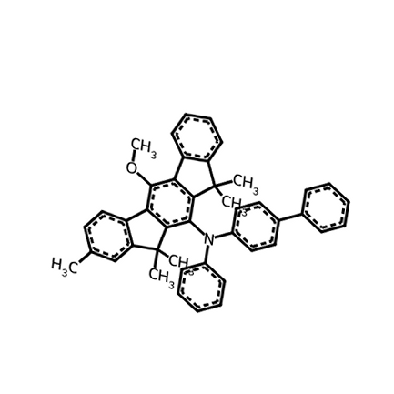 COc1c2c(c(N(c3ccccc3)c3ccc(-c4ccccc4)cc3)c3c1-c1ccc(C)cc1C3(C)C)C(C)(C)c1ccccc1-2